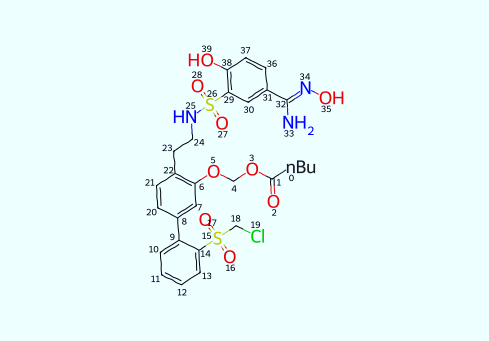 CCCCC(=O)OCOc1cc(-c2ccccc2S(=O)(=O)CCl)ccc1CCNS(=O)(=O)c1cc(/C(N)=N/O)ccc1O